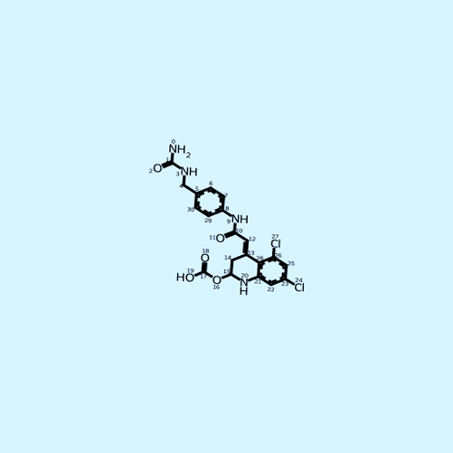 NC(=O)NCc1ccc(NC(=O)/C=C2\CC(OC(=O)O)Nc3cc(Cl)cc(Cl)c32)cc1